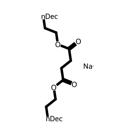 CCCCCCCCCCCCOC(=O)CCC(=O)OCCCCCCCCCCCC.[Na]